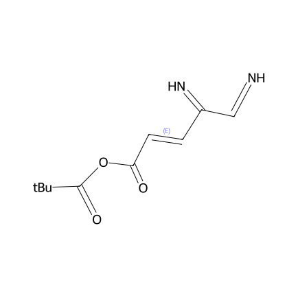 CC(C)(C)C(=O)OC(=O)/C=C/C(=N)C=N